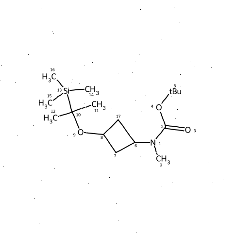 CN(C(=O)OC(C)(C)C)C1CC(OC(C)(C)[Si](C)(C)C)C1